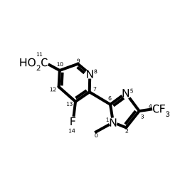 Cn1cc(C(F)(F)F)nc1-c1ncc(C(=O)O)cc1F